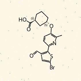 Cc1nc(-c2sc(Br)cc2C=O)ccc1O[C@H]1CCC[C@H](C(=O)O)C1